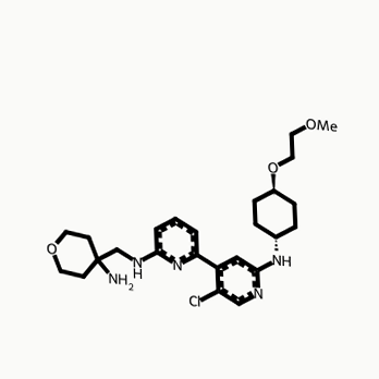 COCCO[C@H]1CC[C@H](Nc2cc(-c3cccc(NCC4(N)CCOCC4)n3)c(Cl)cn2)CC1